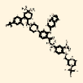 Cc1cc(C(F)(F)F)ccc1C1=C(CN2CCN(c3ccc(C(=O)NS(=O)(=O)c4ccc(NCC5CN(C(F)(F)F)CCO5)c([N+](=O)[O-])c4)c(Oc4cnc5[nH]ccc5c4)c3)CC2)CCC(C)(C)C1